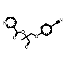 CC(C=O)(COc1ccc(C#N)cc1)OC(=O)c1cccnc1